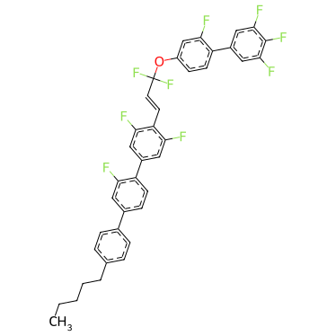 CCCCCc1ccc(-c2ccc(-c3cc(F)c(/C=C/C(F)(F)Oc4ccc(-c5cc(F)c(F)c(F)c5)c(F)c4)c(F)c3)c(F)c2)cc1